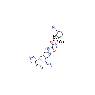 Cc1ccncc1-c1cc(N)c2cnc(NC(=O)C(=O)NC(C)(C)c3cccc(C#N)c3)cc2c1